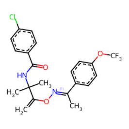 C=C(O/N=C(\C)c1ccc(OC(F)(F)F)cc1)C(C)(C)NC(=O)c1ccc(Cl)cc1